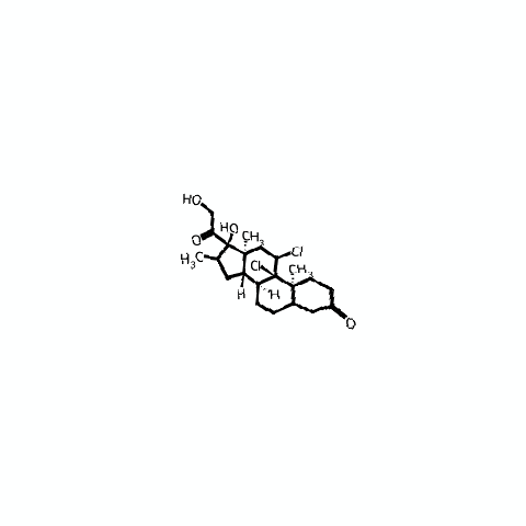 CC1C[C@H]2[C@@H]3CCC4CC(=O)CC[C@]4(C)[C@@]3(Cl)C(Cl)C[C@]2(C)[C@@]1(O)C(=O)CO